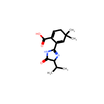 CC(C)C1N=C(C2=CC(C)(C)CC=C2C(=O)O)NC1=O